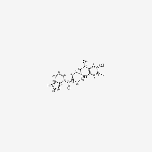 Cc1cc2c(cc1Cl)C(=O)CC1(CCN(C(=O)c3cccc4[nH]cnc34)CC1)O2